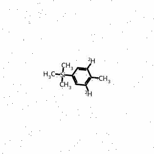 [2H]c1cc([Si](C)(C)C)cc([2H])c1C